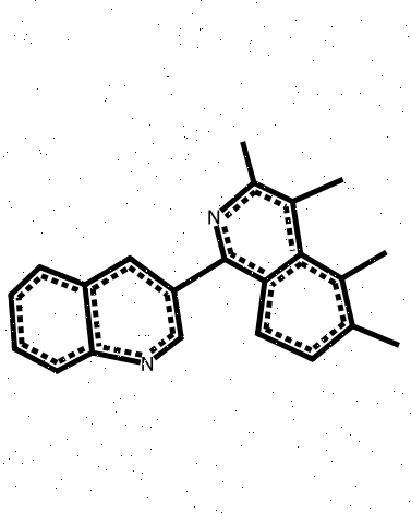 Cc1ccc2c(-c3cnc4ccccc4c3)nc(C)c(C)c2c1C